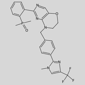 Cn1cc(C(F)(F)F)nc1-c1ccc(CN2CCOc3cnc(-c4ccccc4P(C)(C)=O)nc32)cc1